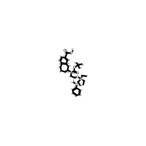 CC[Si](CC)(CC)O[C@H](COc1ccccc1)CN(C(=O)OC(C)(C)C)C1CCCc2ccc(C(=O)OC)cc2C1